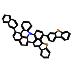 c1ccc(-c2ccccc2N(c2ccc(-c3ccc4c(c3)sc3ccccc34)cc2)c2ccccc2-c2ccc3sc4ccccc4c3c2)c(-c2ccc3ccccc3c2)c1